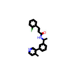 Cc1ccncc1-c1cccc(C(C)NC(=O)C=Cc2ccccc2F)c1